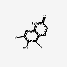 O=c1ccc2c(F)c(O)c(F)cc2[nH]1